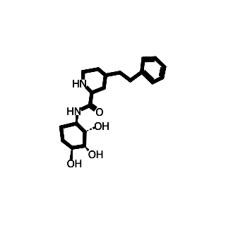 O=C(N[C@@H]1CC[C@H](O)[C@@H](O)[C@H]1O)C1CC(CCc2ccccc2)CCN1